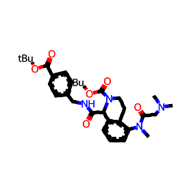 CN(C)CC(=O)N(C)c1cccc2c1CCN(C(=O)OC(C)(C)C)C2C(=O)NCc1ccc(C(=O)OC(C)(C)C)cc1